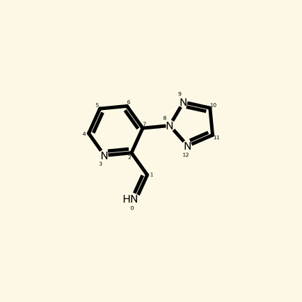 N=Cc1ncccc1-n1nccn1